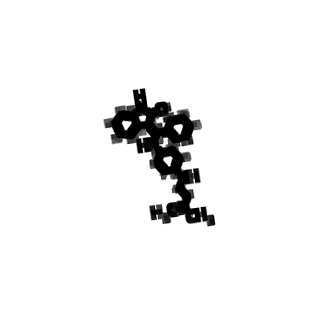 CN(C)CCNc1ccc(NC(=C2C(=O)Nc3ccccc32)c2ccccc2)cc1